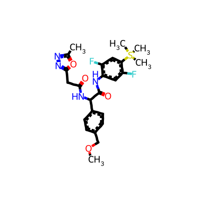 COCc1ccc(C(NC(=O)Cc2nnc(C)o2)C(=O)Nc2cc(F)c(S(C)(C)C)cc2F)cc1